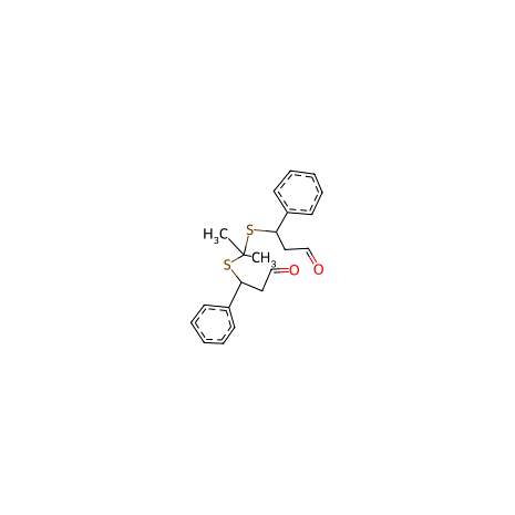 CC(C)(SC(CC=O)c1ccccc1)SC(CC=O)c1ccccc1